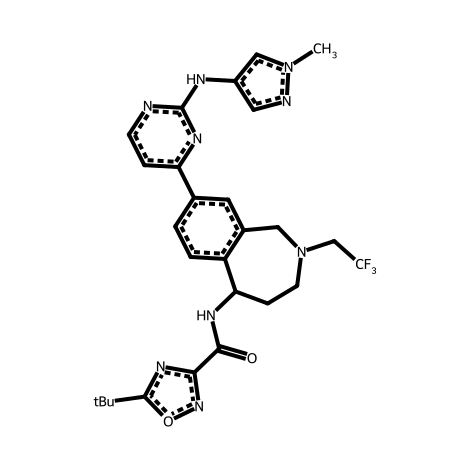 Cn1cc(Nc2nccc(-c3ccc4c(c3)CN(CC(F)(F)F)CCC4NC(=O)c3noc(C(C)(C)C)n3)n2)cn1